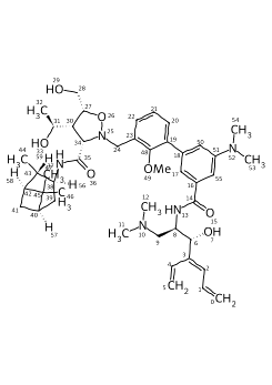 C=C/C=C(\C=C)[C@@H](O)[C@@H](CN(C)C)NC(=O)c1cc(-c2cccc(CN3O[C@@H](CO)[C@@H]([C@H](C)O)[C@H]3C(=O)N[C@H]3C[C@H]4C[C@@H]([C@@H]3C)C4(C)C)c2OC)cc(N(C)C)c1